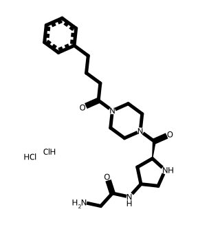 Cl.Cl.NCC(=O)NC1CN[C@H](C(=O)N2CCN(C(=O)CCCc3ccccc3)CC2)C1